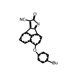 CCC(C)c1ccc(Oc2ccc3c4c(cccc24)C2=C(C#N)C(=O)N=C23)cc1